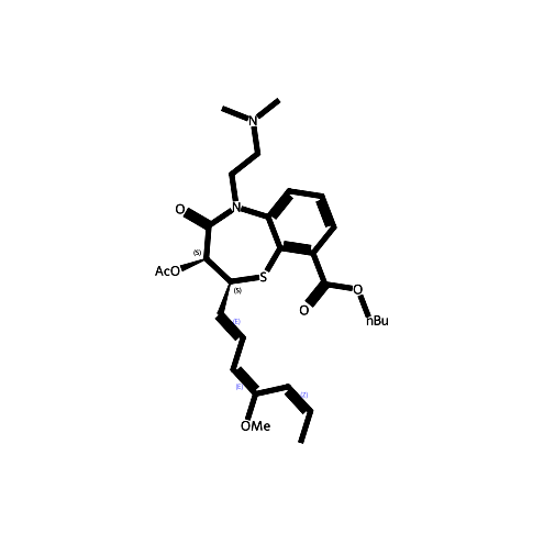 C\C=C/C(=C\C=C\[C@@H]1Sc2c(C(=O)OCCCC)cccc2N(CCN(C)C)C(=O)[C@@H]1OC(C)=O)OC